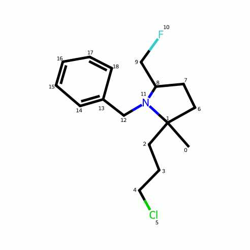 CC1(CCCCl)CCC(CF)N1Cc1ccccc1